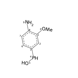 COc1cc(PO)ccc1N